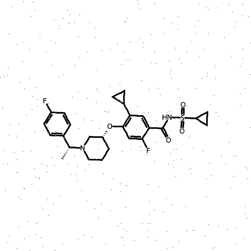 C[C@H](c1ccc(F)cc1)N1CCC[C@@H](Oc2cc(F)c(C(=O)NS(=O)(=O)C3CC3)cc2C2CC2)C1